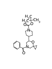 CC(C)(C)OC(=O)N1CCC(C2CN(C(=O)c3ccccc3)CC3(CC3)O2)CC1